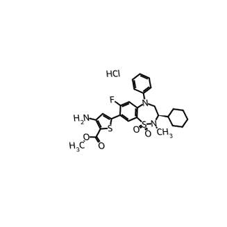 COC(=O)c1sc(-c2cc3c(cc2F)N(c2ccccc2)C[C@@H](C2CCCCC2)N(C)S3(=O)=O)cc1N.Cl